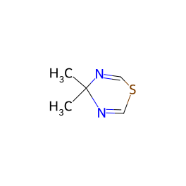 CC1(C)N=CSC=N1